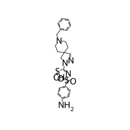 CS/C(=N\S(=O)(=O)c1ccc(N)cc1)N1CC2(C=N1)CCN(Cc1ccccc1)CC2